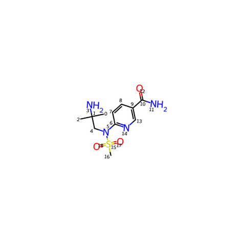 CC(C)(N)CN(c1ccc(C(N)=O)cn1)S(C)(=O)=O